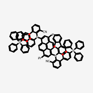 CC(C)c1cc(N(c2c(C#N)cccc2-c2ccc([Si](c3ccccc3)(c3ccccc3)c3ccccc3)cc2)c2cccc3c2oc2ccccc23)c2ccc3c(C(C)C)cc(N(c4c(C#N)cccc4-c4ccc([Si](c5ccccc5)(c5ccccc5)c5ccccc5)cc4)c4cccc5c4oc4ccccc45)c4ccc1c2c34